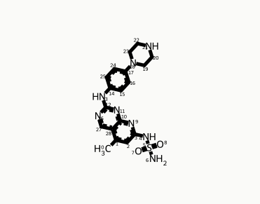 Cc1cc(NS(N)(=O)=O)nc2nc(Nc3ccc(N4CCNCC4)cc3)ncc12